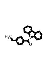 C=Cc1ccc(C(=O)n2c3ccccc3c3ccccc32)cc1